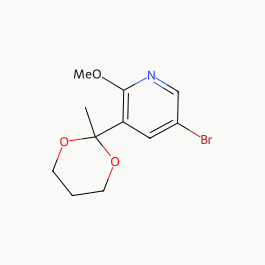 COc1ncc(Br)cc1C1(C)OCCCO1